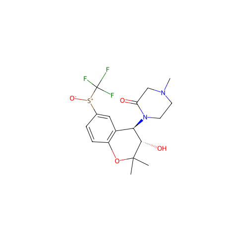 CN1CCN([C@@H]2c3cc([S+]([O-])C(F)(F)F)ccc3OC(C)(C)[C@H]2O)C(=O)C1